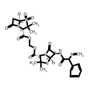 C=NC(C(=O)N[C@@H]1C(=O)N2[C@@H]1SC(C)(C)[C@@H]2C(=O)OCOC(=O)[C@@H]1N2C(=O)C[C@H]2S(=O)(=O)C1(C)C)c1ccccc1